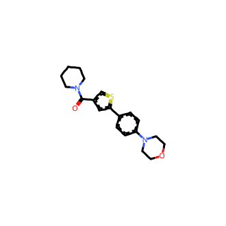 O=C(c1csc(-c2ccc(N3CCOCC3)cc2)c1)N1CCCCC1